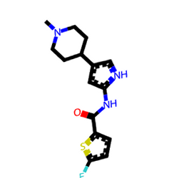 CN1CCC(c2c[nH]c(NC(=O)c3ccc(F)s3)c2)CC1